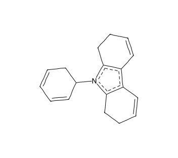 C1=CCC(n2c3c(c4c2CCC=C4)C=CCC3)C=C1